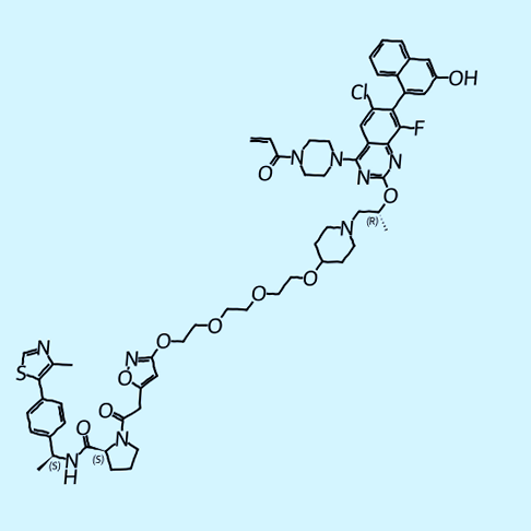 C=CC(=O)N1CCN(c2nc(O[C@H](C)CN3CCC(OCCOCCOCCOc4cc(CC(=O)N5CCC[C@H]5C(=O)N[C@@H](C)c5ccc(-c6scnc6C)cc5)on4)CC3)nc3c(F)c(-c4cc(O)cc5ccccc45)c(Cl)cc23)CC1